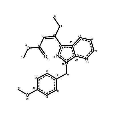 CC/C(=C/C(=O)OC)c1nn(Cc2ccc(OC)cc2)c2ncccc12